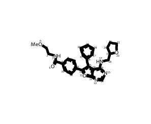 COCCNC(=O)c1ccc(-c2oc3ncnc(NCC4CCCO4)c3c2-c2ccccc2)cc1